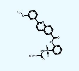 CCCCCC(=O)NS(=O)(=O)c1ccccc1NC(=O)c1ccc2nc(-c3cccc(OC(F)(F)F)c3)ccc2c1